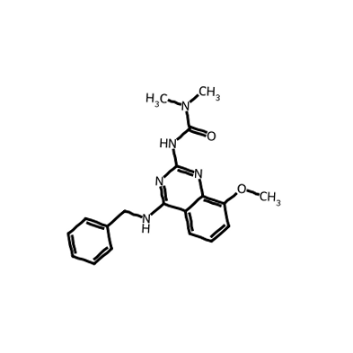 COc1cccc2c(NCc3ccccc3)nc(NC(=O)N(C)C)nc12